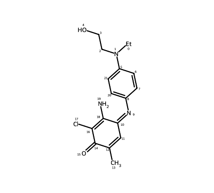 CCN(CCO)c1ccc(/N=C2/C=C(C)C(=O)C(Cl)=C2N)cc1